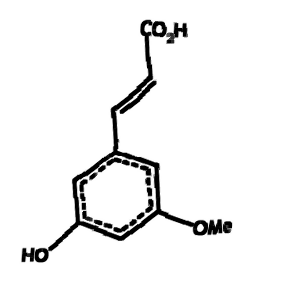 COc1cc(O)cc(C=CC(=O)O)c1